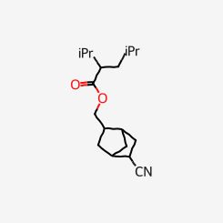 CC(C)CC(C(=O)OCC1CC2CC1CC2C#N)C(C)C